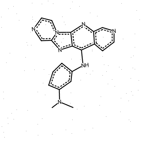 CN(C)c1cccc(Nc2c3ccncc3nc3c2nc2cnccn23)c1